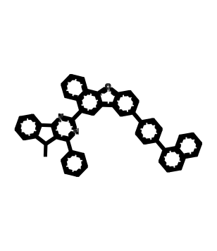 CC1c2ccccc2-c2nc(-c3cc4c5cc(-c6ccc(-c7cccc8ccccc78)cc6)ccc5oc4c4ccccc34)nc(-c3ccccc3)c21